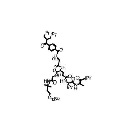 CC(C)CC(CC(C)C)C(=O)c1ccc(C(=O)NCC(=O)NC(CCC(=O)NC(C(=O)NC(C)C(=O)C(C)C)C(C)C)C(=O)NCC(=O)NC(C)(C)CCOC(C)(C)C)cc1